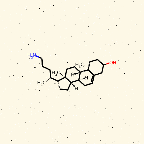 C[C@H](CCCN)[C@H]1CC[C@H]2[C@@H]3CC=C4C[C@H](O)CC[C@]4(C)[C@H]3CC[C@]12C